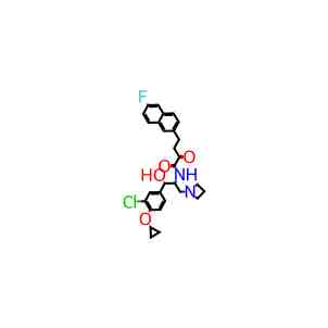 O=C(CCc1ccc2cc(F)ccc2c1)C(=O)NC(CN1CCC1)C(O)c1ccc(OC2CC2)c(Cl)c1